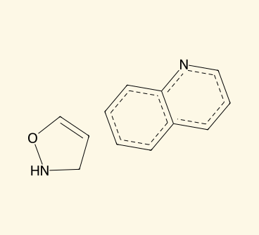 C1=CONC1.c1ccc2ncccc2c1